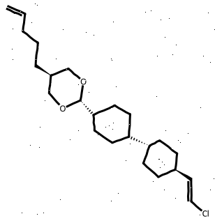 C=CCCC[C@H]1CO[C@H](C2CCC([C@H]3CC[C@H](/C=C/Cl)CC3)CC2)OC1